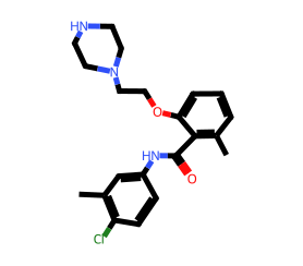 Cc1cc(NC(=O)c2c(C)cccc2OCCN2CCNCC2)ccc1Cl